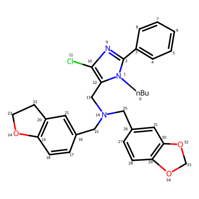 CCCCn1c(-c2ccccc2)nc(Cl)c1CN(Cc1ccc2c(c1)CCO2)Cc1ccc2c(c1)OCO2